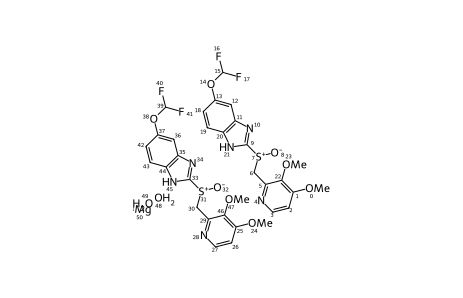 COc1ccnc(C[S+]([O-])c2nc3cc(OC(F)F)ccc3[nH]2)c1OC.COc1ccnc(C[S+]([O-])c2nc3cc(OC(F)F)ccc3[nH]2)c1OC.O.O.[Mg]